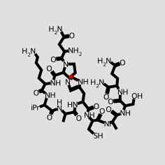 CC(NC(=O)C(CS)NC(=O)C(Cc1cnc[nH]1)NC(=O)C(C)NC(=O)C(NC(=O)C(CCCCN)NC(=O)C1CCCN1C(=O)C(N)CC(N)=O)C(C)C)C(=O)NC(CO)C(=O)NC(CCC(N)=O)C(N)=O